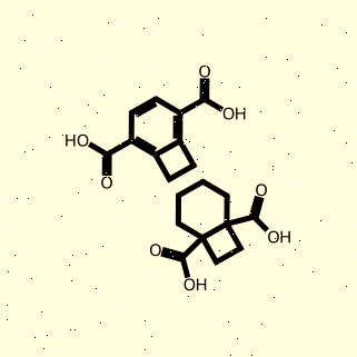 O=C(O)C12CCCCC1(C(=O)O)CC2.O=C(O)c1ccc(C(=O)O)c2c1CC2